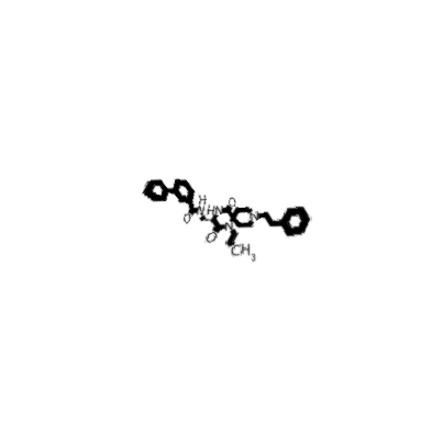 CCCN1C(=O)[C@H](CNC(=O)c2cccc(-c3ccccc3)c2)NC(=O)C12CCN(CCc1ccccc1)CC2